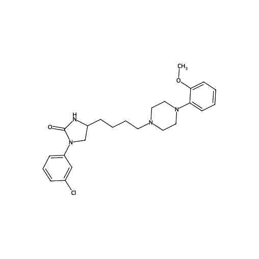 COc1ccccc1N1CCN(CCCCC2CN(c3cccc(Cl)c3)C(=O)N2)CC1